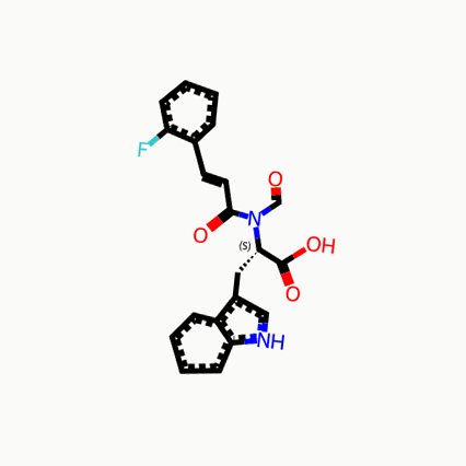 O=CN(C(=O)C=Cc1ccccc1F)[C@@H](Cc1c[nH]c2ccccc12)C(=O)O